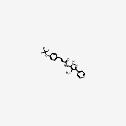 Cc1c(-c2ccncc2)n[nH]c1NC(=O)C=Cc1ccc(OC(F)(F)F)cc1